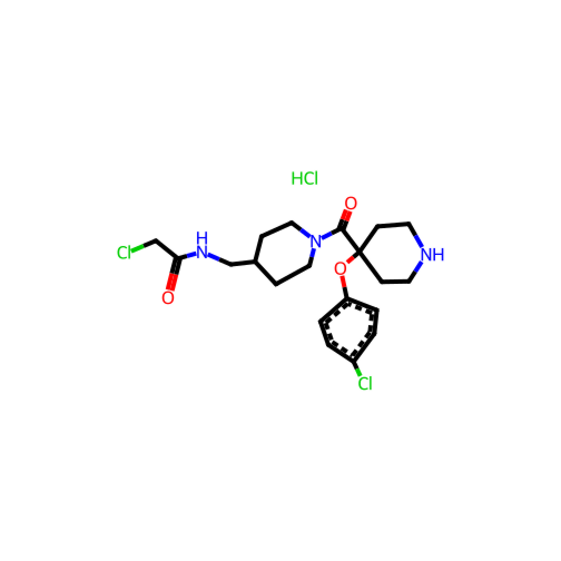 Cl.O=C(CCl)NCC1CCN(C(=O)C2(Oc3ccc(Cl)cc3)CCNCC2)CC1